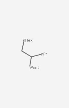 [CH2]CCCCC(CCC)CCCCCCC